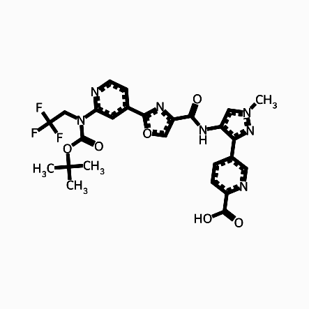 Cn1cc(NC(=O)c2coc(-c3ccnc(N(CC(F)(F)F)C(=O)OC(C)(C)C)c3)n2)c(-c2ccc(C(=O)O)nc2)n1